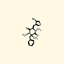 CN1C(=O)C(C)(Cc2ccccc2)N(C)C(=O)/C1=C/c1cscc1Br